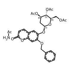 CC(=O)OC[C@H]1O[C@@H](Oc2cc3ccc(=O)oc3cc2OCc2ccccc2)C[C@@H](OC(C)=O)[C@@H]1OC(C)=O.CC(N)=O